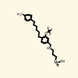 Cc1ccc(CCCCCCc2ccc(CNCCCO[PH](=O)O)cc2OC(F)(F)F)cc1